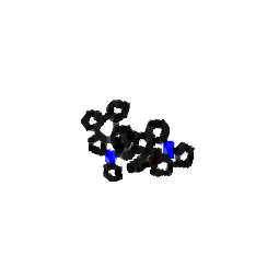 c1ccc(N(c2ccc3c(c2)C2(c4c-3cccc4-n3c4ccccc4c4ccccc43)C3CC4CC(C3)C2C4)c2cccc3c2-c2ccccc2-c2ccccc2-c2ccccc2-3)cc1